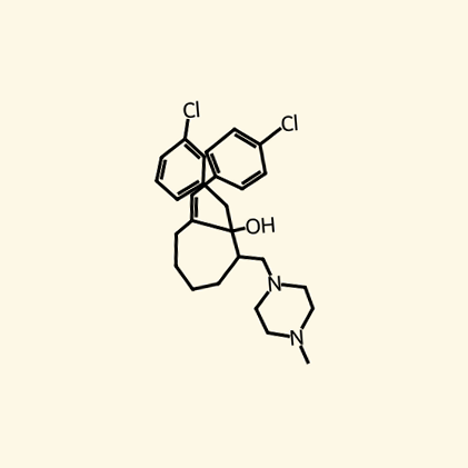 CN1CCN(CC2CCCC/C(=C/c3ccc(Cl)cc3)C2(O)Cc2cccc(Cl)c2)CC1